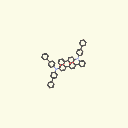 c1ccc(-c2ccc(N(c3ccc(-c4ccccc4)cc3)c3ccc(-c4ccc(-c5ccccc5N(c5ccc(-c6ccccc6)cc5)c5ccc(-c6ccccc6)cc5)cc4)cc3)cc2)cc1